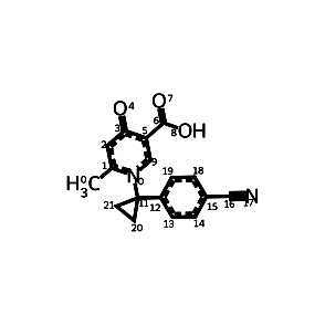 Cc1cc(=O)c(C(=O)O)cn1C1(c2ccc(C#N)cc2)CC1